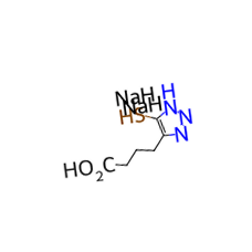 O=C(O)CCCc1nn[nH]c1S.[NaH].[NaH]